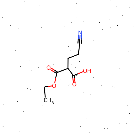 CCOC(=O)C(CCC#N)C(=O)O